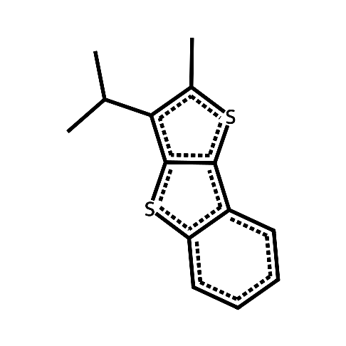 Cc1sc2c(sc3ccccc32)c1C(C)C